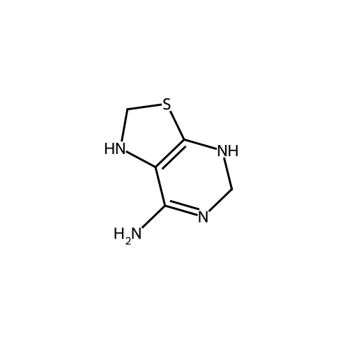 NC1=NCNC2=C1NCS2